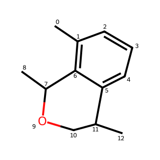 Cc1cccc2c1C(C)OCC2C